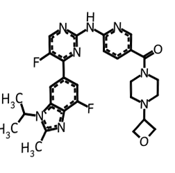 Cc1nc2c(F)cc(-c3nc(Nc4ccc(C(=O)N5CCN(C6COC6)CC5)cn4)ncc3F)cc2n1C(C)C